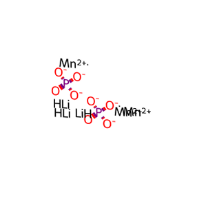 O=P([O-])([O-])[O-].O=P([O-])([O-])[O-].[LiH].[LiH].[LiH].[Mn+2].[Mn+2].[Mn+2]